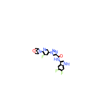 O=C(Nc1c[nH]c2cc(F)c(F)cc12)c1cn(-c2cnc(N3C4COCC3C4)c(F)c2)nn1